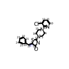 O=C1N=C(N2CCN(c3ncccc3Cl)CC2)S/C1=C\c1ccccc1